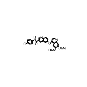 COc1cc2nccc(Oc3ccc4ncc(C(=O)Nc5ccc(Cl)cc5)cc4c3)c2cc1OC